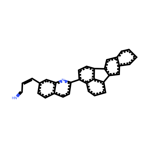 N=C/C=C\c1ccc2ccc(-c3ccc4c5c(cccc35)-c3cc5ccccc5cc3-4)nc2c1